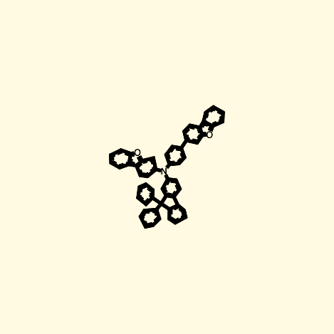 c1ccc(C2(c3ccccc3)c3ccccc3-c3ccc(N(c4ccc(-c5ccc6c(c5)oc5ccccc56)cc4)c4ccc5c(c4)oc4ccccc45)cc32)cc1